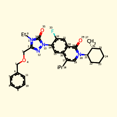 CCn1c(COCc2ccccc2)nn(-c2cc3c(C(C)C)cn([C@@H]4CCCC[C@H]4C)c(=O)c3cc2F)c1=O